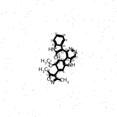 COc1cc2c(cc1-c1c(C)noc1C)[nH]c1cnnc(-c3c(C)[nH]c4ccccc34)c12